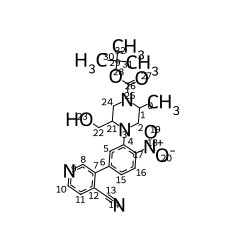 CC1CN(c2cc(-c3cnccc3C#N)ccc2[N+](=O)[O-])C(CO)CN1C(=O)OC(C)(C)C